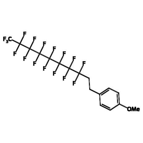 COc1ccc(CCC(F)(F)C(F)(F)C(F)(F)C(F)(F)C(F)(F)C(F)(F)C(F)(F)C(F)(F)F)cc1